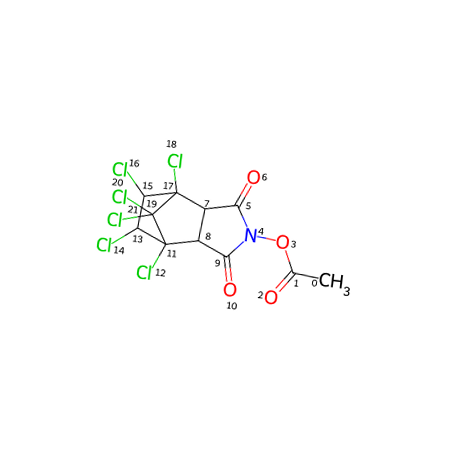 CC(=O)ON1C(=O)C2C(C1=O)C1(Cl)C(Cl)C(Cl)C2(Cl)C1(Cl)Cl